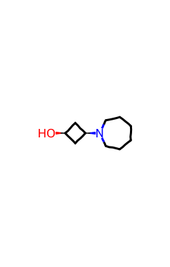 O[C@H]1C[C@@H](N2CCCCCC2)C1